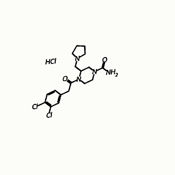 Cl.NC(=O)N1CCN(C(=O)Cc2ccc(Cl)c(Cl)c2)C(CN2CCCC2)C1